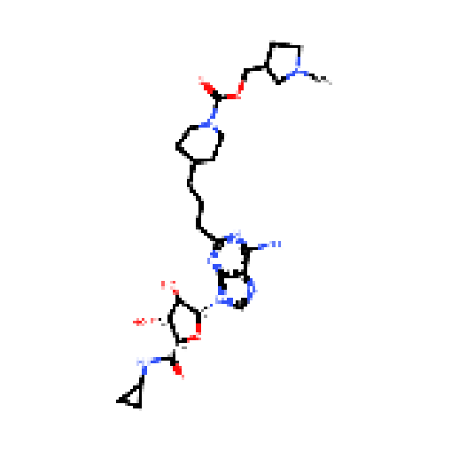 CN1CCC(COC(=O)N2CCC(CCCc3nc(N)c4ncn([C@@H]5O[C@H](C(=O)NC6CC6)[C@H](O)C5O)c4n3)CC2)C1